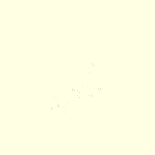 C=CC(=O)OCCNC(=O)OCc1cc(OC)c(O)c(-n2nc3cc4c(cc3n2)C(=O)N(CCCC)C4=O)c1